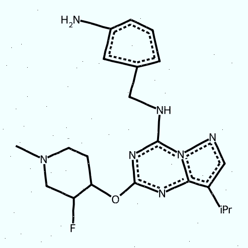 CC(C)c1cnn2c(NCc3cccc(N)c3)nc(OC3CCN(C)CC3F)nc12